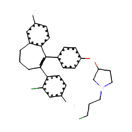 Cc1ccc(C2=C(c3ccc(OC4CCN(CCCF)C4)cc3)c3ccc(C#N)cc3CCC2)c(Cl)c1